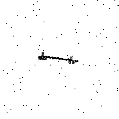 CCC[S+]([O-])NC(=O)CCCCCCCCCCCCCCCC1NNNN1